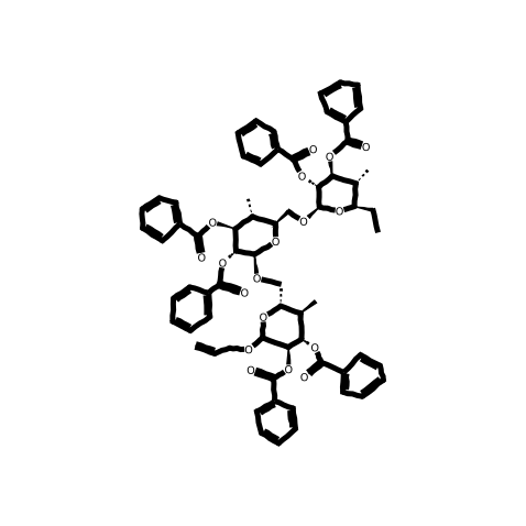 C=CCOC1O[C@H](CO[C@@H]2O[C@H](CO[C@@H]3O[C@H](CC)[C@@H](C)[C@H](OC(=O)c4ccccc4)[C@H]3OC(=O)c3ccccc3)[C@@H](C)[C@H](OC(=O)c3ccccc3)[C@H]2OC(=O)c2ccccc2)[C@@H](C)[C@H](OC(=O)c2ccccc2)[C@H]1OC(=O)c1ccccc1